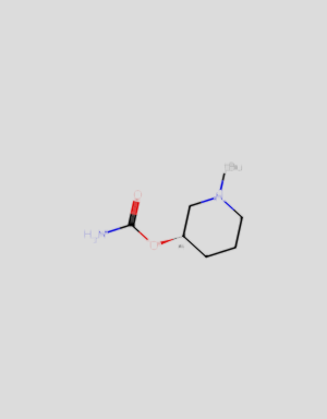 CC(C)(C)N1CCC[C@@H](OC(N)=O)C1